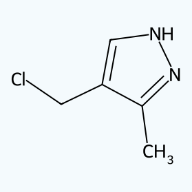 Cc1n[nH]cc1CCl